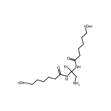 CCCCCCCCCCCCCCCC(=O)NC(CC)(CN)NC(=O)CCCCCCCCCCCCCCC